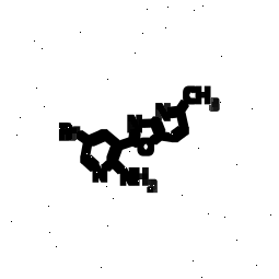 Cc1ccc2oc(-c3cc(Br)cnc3N)nc2n1